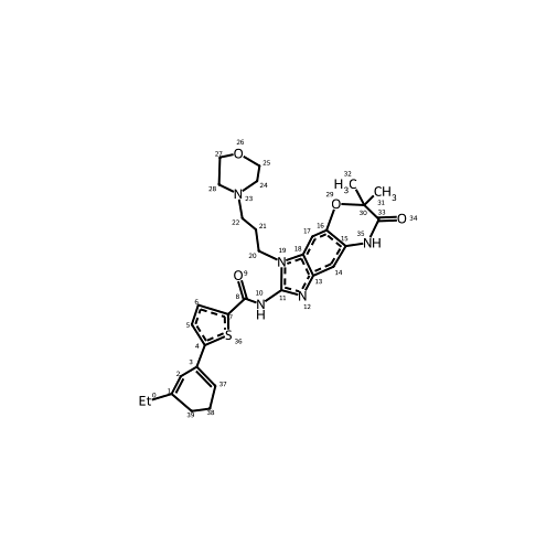 CCC1=CC(c2ccc(C(=O)Nc3nc4cc5c(cc4n3CCCN3CCOCC3)OC(C)(C)C(=O)N5)s2)=CCC1